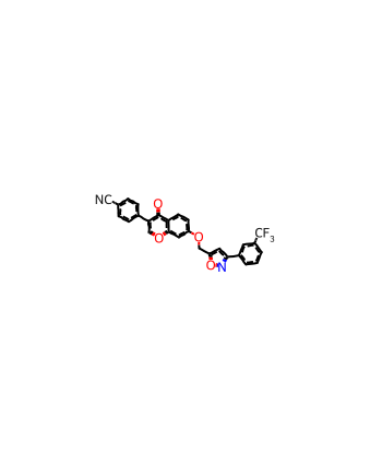 N#Cc1ccc(-c2coc3cc(OCc4cc(-c5cccc(C(F)(F)F)c5)no4)ccc3c2=O)cc1